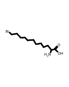 NC(CCCCCCCCCCBr)C(=O)O